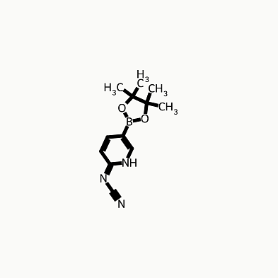 CC1(C)OB(c2cc/c(=N/C#N)[nH]c2)OC1(C)C